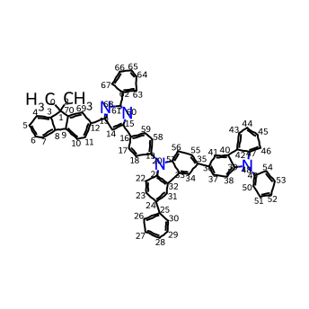 CC1(C)c2ccccc2-c2ccc(-c3cc(-c4ccc(-n5c6ccc(-c7ccccc7)cc6c6cc(-c7ccc8c(c7)c7ccccc7n8-c7ccccc7)ccc65)cc4)nc(-c4ccccc4)n3)cc21